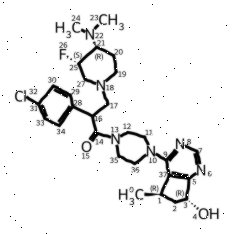 C[C@@H]1C[C@@H](O)c2ncnc(N3CCN(C(=O)C(CN4CC[C@@H](N(C)C)[C@@H](F)C4)c4ccc(Cl)cc4)CC3)c21